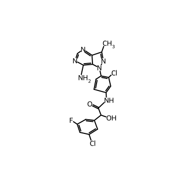 Cc1nn(-c2ccc(NC(=O)C(O)c3cc(F)cc(Cl)c3)cc2Cl)c2c(N)ncnc12